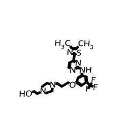 Cc1nc(-c2ccnc(Nc3cc(OCCCN4CCN(CCO)CC4)cc(C(F)(F)F)c3)n2)sc1C